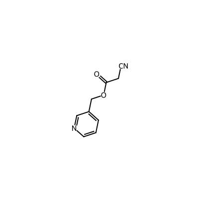 N#CCC(=O)OCc1cccnc1